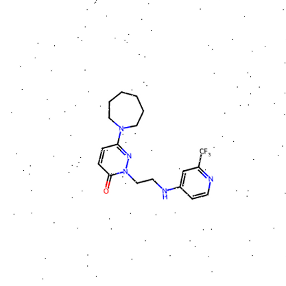 O=c1ccc(N2CCCCCC2)nn1CCNc1ccnc(C(F)(F)F)c1